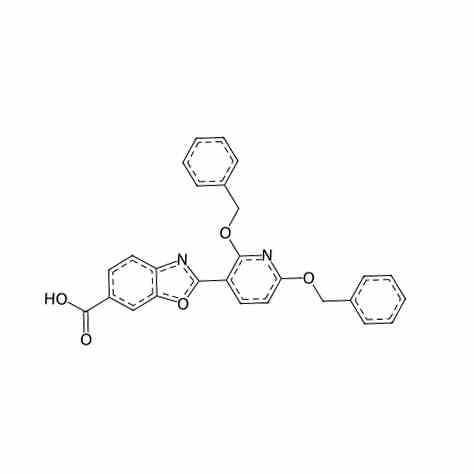 O=C(O)c1ccc2nc(-c3ccc(OCc4ccccc4)nc3OCc3ccccc3)oc2c1